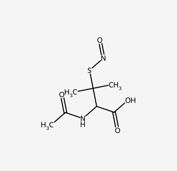 CC(=O)NC(C(=O)O)C(C)(C)SN=O